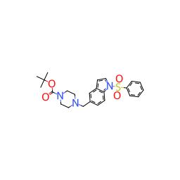 CC(C)(C)OC(=O)N1CCN(Cc2ccc3c(ccn3S(=O)(=O)c3ccccc3)c2)CC1